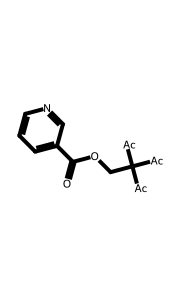 CC(=O)C(COC(=O)c1cccnc1)(C(C)=O)C(C)=O